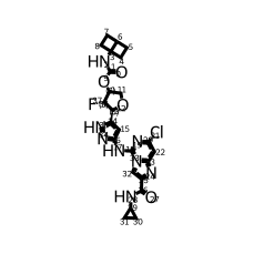 O=C(NC12CCC1CC2)O[C@H]1CO[C@@H](c2cc(Nc3nc(Cl)cc4nc(C(=O)NC5CC5)cn34)n[nH]2)[C@@H]1F